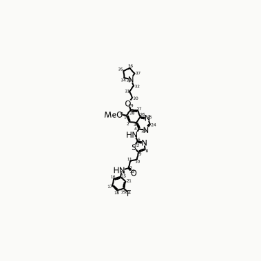 COc1cc2c(Nc3ncc(CCC(=O)Nc4cccc(F)c4)s3)ncnc2cc1OCCCN1CCCC1